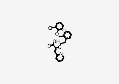 O=C(O)C(=Cc1ccccn1)OCCc1ccccc1COc1c(Cl)cccc1Cl